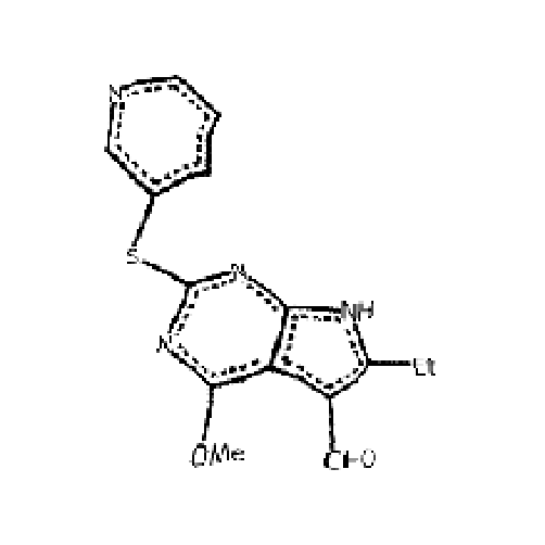 CCc1[nH]c2nc(Sc3cccnc3)nc(OC)c2c1C=O